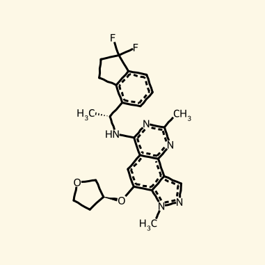 Cc1nc(N[C@H](C)c2cccc3c2CCC3(F)F)c2cc(O[C@H]3CCOC3)c3c(cnn3C)c2n1